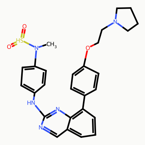 CN(c1ccc(Nc2ncc3cccc(-c4ccc(OCCN5CCCC5)cc4)c3n2)cc1)[SH](=O)=O